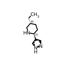 CC[C@@H]1CC[C@@H](c2cn[nH]c2)NC1